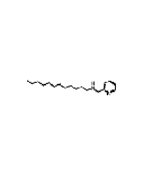 CCCCCCCCCCCCNCc1ccccn1